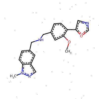 COc1cc(CNCc2ccc3c(cnn3C)c2)ccc1-c1cnco1